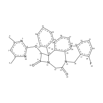 Cc1cc(C)nc(OC2C(=O)N3CC(=O)N(Cc4c(F)cccc4F)c4ccccc4C23c2ccccc2)n1